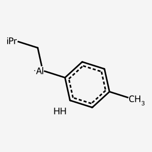 Cc1cc[c]([Al][CH2]C(C)C)cc1.[HH]